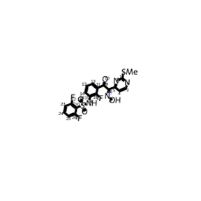 CSc1nccc(/C(=N\O)C(=O)c2cccc(NS(=O)(=O)c3c(F)cccc3F)c2F)n1